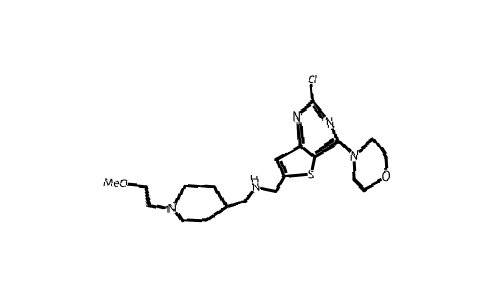 COCCN1CCC(CNCc2cc3nc(Cl)nc(N4CCOCC4)c3s2)CC1